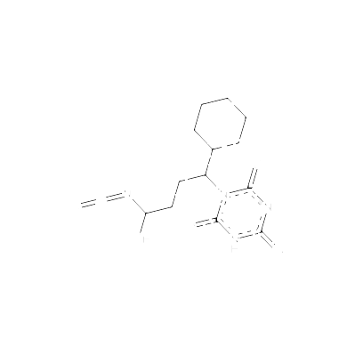 CC(CCC(C1CCCCC1)n1c(=O)[nH]c(=O)[nH]c1=O)N=C=O